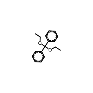 CCOC(OCC)(c1ccccc1)c1ccccc1